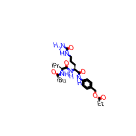 CCC(=O)OCc1ccc(NC(=O)[C@H](CCCNC(N)=O)NC(=O)[C@@H](NC(=O)C(C)CC)C(C)C)cc1